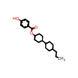 CCCC1CCC(C2CCC(OC(=O)c3ccc(O)cc3)CC2)CC1